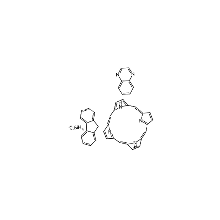 C1=Cc2cc3ccc(cc4nc(cc5ccc(cc1n2)[nH]5)C=C4)[nH]3.[Cu].[SiH4].c1ccc2c(c1)Cc1ccccc1-2.c1ccc2nccnc2c1